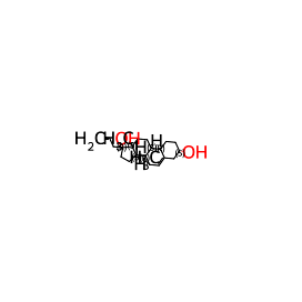 C=CC[C@]1(O)CC[C@H]2[C@@H]3CC=C4C[C@@H](O)CC[C@]4(C)[C@H]3CC[C@@]21C